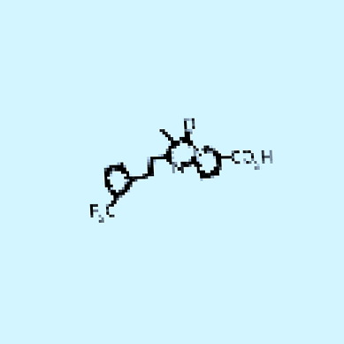 Cc1c(C=Cc2cccc(C(F)(F)F)c2)nc2ccc(C(=O)O)cn2c1=O